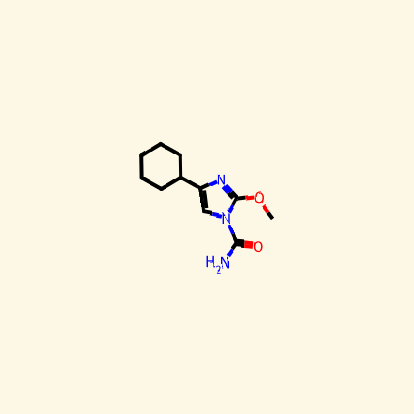 COc1nc(C2CCCCC2)cn1C(N)=O